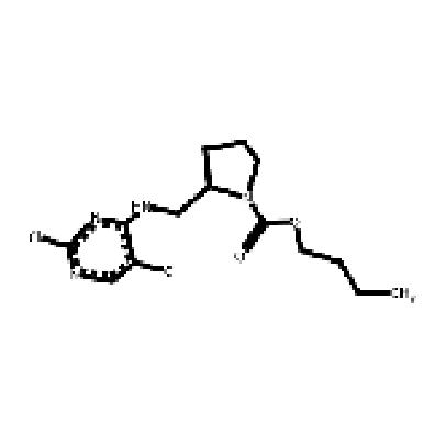 CCCCOC(=O)N1CCCC1CNc1nc(Cl)ncc1Cl